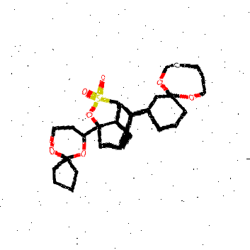 O=S1(=O)OC2(C3CCOC4(CCCC4)O3)CC3CC2C1C3C1CCCC2(C1)OCCCCO2